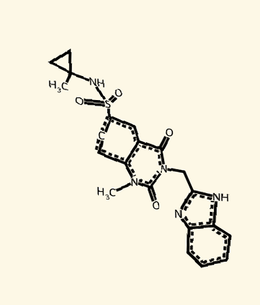 Cn1c(=O)n(Cc2nc3ccccc3[nH]2)c(=O)c2cc(S(=O)(=O)NC3(C)CC3)ccc21